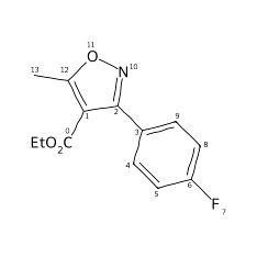 CCOC(=O)c1c(-c2ccc(F)cc2)noc1C